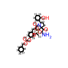 COC(=O)[C@]1(C(=O)CN)CCC(c2ccccc2O)N1C(=O)C(Cc1ccc(OC(=O)OCc2ccccc2)cc1)SC(C)=O